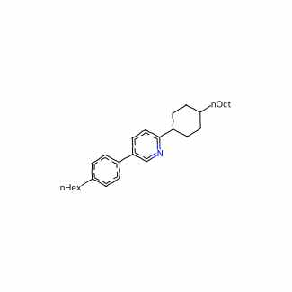 CCCCCCCCC1CCC(c2ccc(-c3ccc(CCCCCC)cc3)cn2)CC1